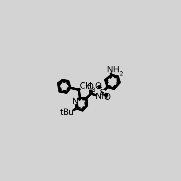 CC(c1ccccc1)c1nc(C(C)(C)C)ccc1C(=O)NS(=O)(=O)c1cccc(N)c1